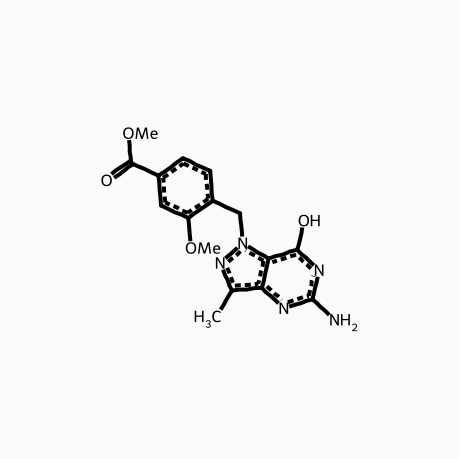 COC(=O)c1ccc(Cn2nc(C)c3nc(N)nc(O)c32)c(OC)c1